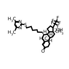 Cc1cc(C)nc(SCCCCCC[C@@H]2CC3=CC(=O)CC[C@]3(C)[C@H]3CC[C@@]4(C)[C@@H](CC[C@@]4(O)C(F)(F)C(F)(F)F)[C@H]23)n1